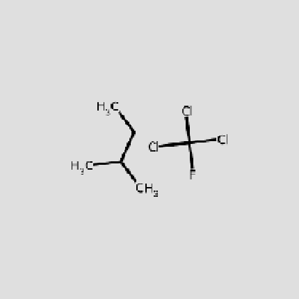 CCC(C)C.FC(Cl)(Cl)Cl